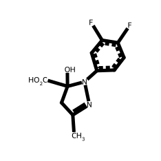 CC1=NN(c2ccc(F)c(F)c2)C(O)(C(=O)O)C1